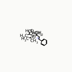 C=C(/C=C/c1ccccc1)O[Si](C(C)C)(C(C)C)C(C)C